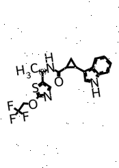 C[C@@H](NC(=O)C1CC1c1c[nH]c2ccccc12)c1cnc(OCC(F)(F)F)s1